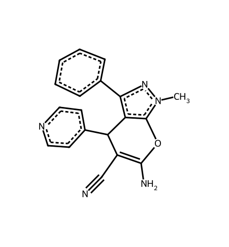 Cn1nc(-c2ccccc2)c2c1OC(N)=C(C#N)C2c1ccncc1